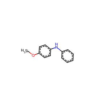 [SiH3]Oc1ccc(Nc2ccccc2)cc1